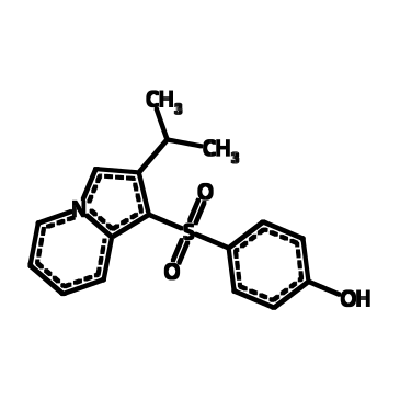 CC(C)c1cn2ccccc2c1S(=O)(=O)c1ccc(O)cc1